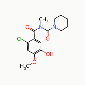 COc1cc(Cl)c(C(=O)N(C)C(=O)N2CCCCC2)cc1O